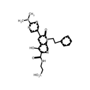 CN(C)c1ncc(-c2cc3c(O)c(C(=O)NCCC(=O)O)ncc3n(CCc3ccccc3)c2=O)cn1